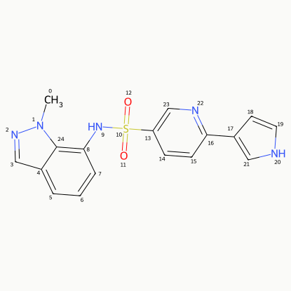 Cn1ncc2cccc(NS(=O)(=O)c3ccc(-c4cc[nH]c4)nc3)c21